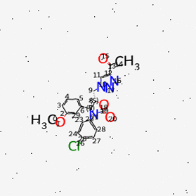 COc1cccc([C@H]2[C@H](Cn3cc(C(C)=O)nn3)OC(=O)N2c2ccc(Cl)cc2)c1